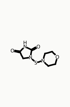 O=C1CN(SN2CCOCC2)C(=O)N1